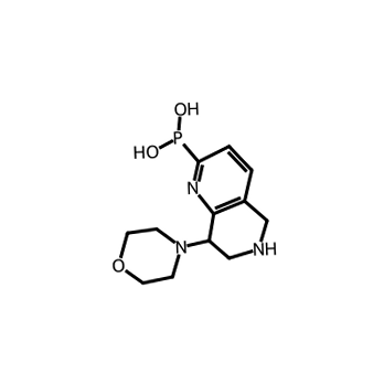 OP(O)c1ccc2c(n1)C(N1CCOCC1)CNC2